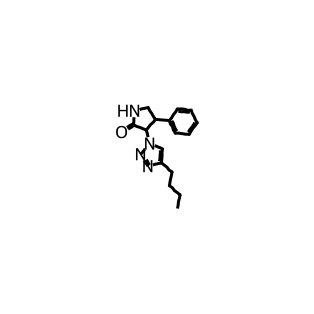 CCCCc1cn(C2C(=O)NCC2c2ccccc2)nn1